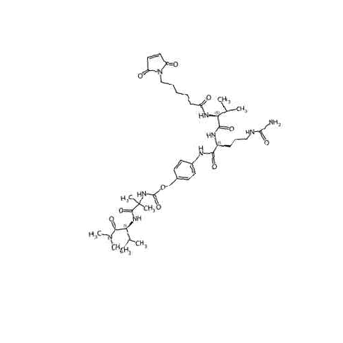 CC(C)[C@H](NC(=O)CCCCCN1C(=O)C=CC1=O)C(=O)N[C@@H](CCCNC(N)=O)C(=O)Nc1ccc(COC(=O)NC(C)(C)C(=O)N[C@H](C(=O)N(C)C)C(C)C)cc1